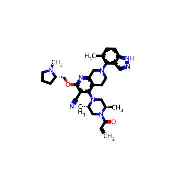 C=CC(=O)N1C[C@H](C)N(c2c(C#N)c(OC[C@@H]3CCCN3C)nc3c2CCN(c2c(C)ccc4[nH]ncc24)C3)C[C@H]1C